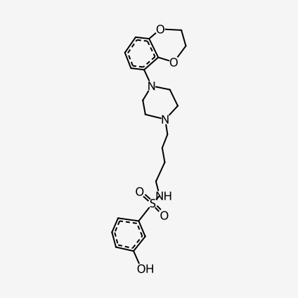 O=S(=O)(NCCCCN1CCN(c2cccc3c2OCCO3)CC1)c1cccc(O)c1